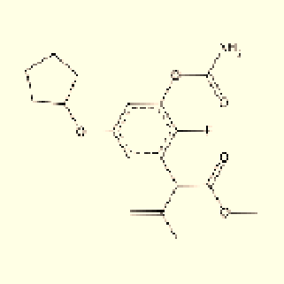 C=C(C)C(C(=O)OC)c1cc(OC2CCCC2)cc(OC(N)=O)c1F